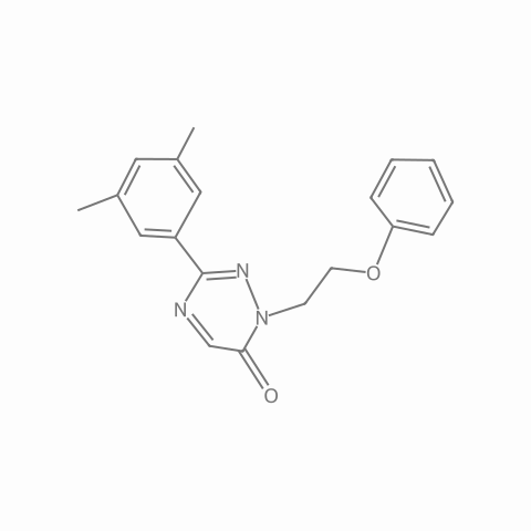 Cc1cc(C)cc(-c2ncc(=O)n(CCOc3ccccc3)n2)c1